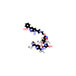 Cc1ncsc1-c1ccc([C@H](C)NC(=O)[C@@H]2C[C@@H](O)CN2C(=O)[C@](C)(c2cc(OCCN3CC(c4cc5cc(-c6ccccc6O)nnc5[nH]4)C3)no2)C(C)C)cn1